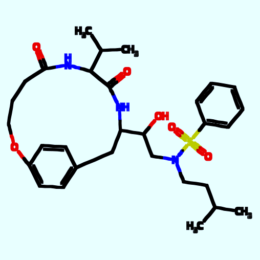 CC(C)CCN(CC(O)C1Cc2ccc(cc2)OCCCC(=O)NC(C(C)C)C(=O)N1)S(=O)(=O)c1ccccc1